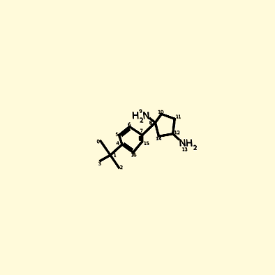 CC(C)(C)c1ccc(C2(N)CCC(N)C2)cc1